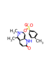 Cc1c2ccc(=O)[nH]c2cc[n+]1C.Cc1ccc(S(=O)(=O)[O-])cc1